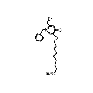 CCCCCCCCCCCCCCCCCCOc1cn(Cc2ccccc2)c(CBr)cc1=O